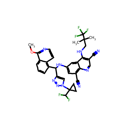 COc1nccc2c(C(Nc3cc(C#N)c4ncc(C#N)c(NCC(C)(C)C(F)(F)F)c4c3)c3cn(C4(C(F)F)CC4)nn3)cccc12